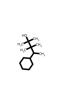 CC(C1CCCCC1)C(C)(C)C(C)(C)O